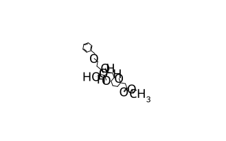 COC(=O)CC1CCC2O[C@@H]3[C@H]4OC(CCOCc5ccccc5)(OC4[C@H]2O1)[C@H]3O